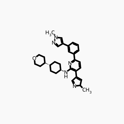 CC1C=C(c2ccc(-c3cccc(-c4cnn(C)c4)c3)nc2N[C@H]2CC[C@@H](C3CCOCC3)CC2)C=N1